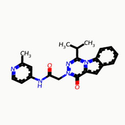 Cc1cc(NC(=O)Cn2nc(C(C)C)n3c(cc4ccccc43)c2=O)ccn1